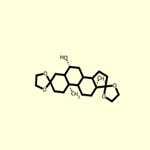 C[C@]12CCC3(CC1[C@H](O)CC1C2CC[C@@]2(C)C1CCC21OCCO1)OCCO3